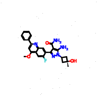 COc1cc(-c2ccccc2)nc2cc(-c3nn([C@H]4C[C@@](C)(O)C4)c(N)c3C(N)=O)c(F)cc12